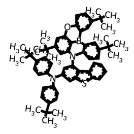 CC(C)(C)c1ccc(N(c2ccc(C(C)(C)C)cc2)c2cc(N3c4ccc(C(C)(C)C)cc4B4c5cc(C(C)(C)C)ccc5Oc5cc(C(C)(C)C)cc3c54)c3c(c2)sc2ccccc23)cc1